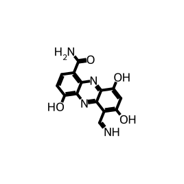 N=Cc1c(O)cc(O)c2nc3c(C(N)=O)ccc(O)c3nc12